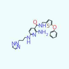 Nc1nc(NCCCn2nccn2)ccc1C(=O)NCc1ccc(Oc2ccccc2)s1